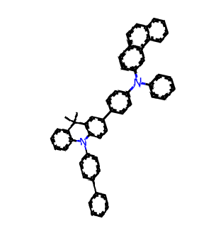 CC1(C)c2ccccc2N(c2ccc(-c3ccccc3)cc2)c2ccc(-c3ccc(N(c4ccccc4)c4ccc5ccc6ccccc6c5c4)cc3)cc21